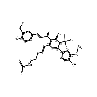 COc1cc(/C=C/C(=O)C2=C(/C=C/CCCNC(C)=O)C=C(c3ccc(O)c(OC)c3)C(C(F)(F)F)C2=O)ccc1O